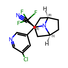 N#C[C@@]1(c2cncc(Cl)c2)C[C@H]2CC[C@@H](C1)N2CC(F)(F)F